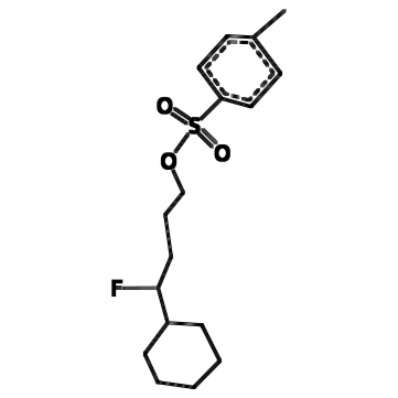 Cc1ccc(S(=O)(=O)OCCCC(F)C2CCCCC2)cc1